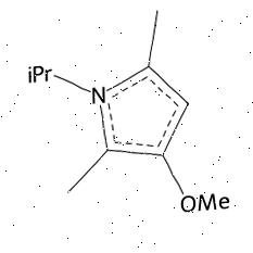 COc1cc(C)n(C(C)C)c1C